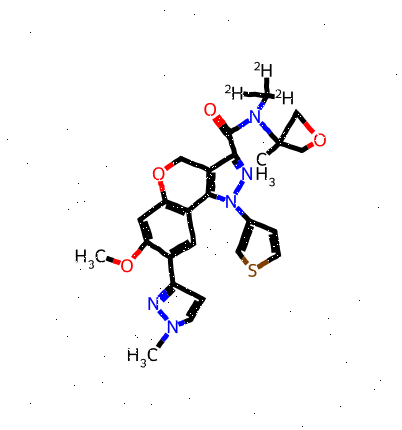 [2H]C([2H])([2H])N(C(=O)c1nn(-c2ccsc2)c2c1COc1cc(OC)c(-c3ccn(C)n3)cc1-2)C1(C)COC1